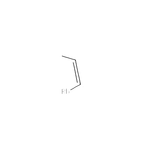 C/C=[CH]\[Rb]